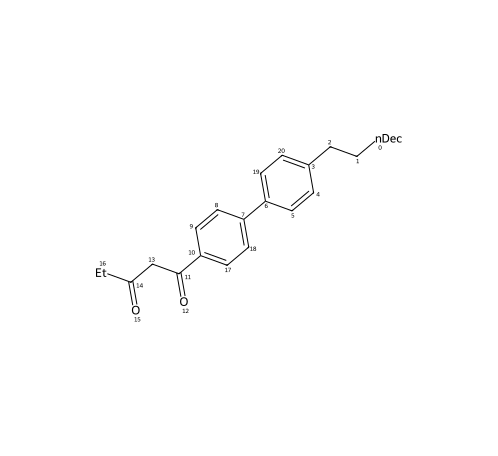 CCCCCCCCCCCCc1ccc(-c2ccc(C(=O)CC(=O)CC)cc2)cc1